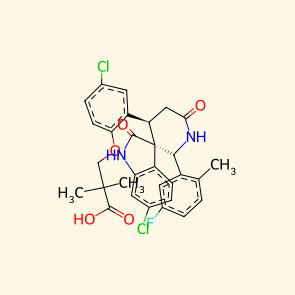 Cc1ccc(F)cc1C1NC(=O)C[C@H](c2cc(Cl)ccc2OCC(C)(C)C(=O)O)[C@@]12C(=O)Nc1cc(Cl)ccc12